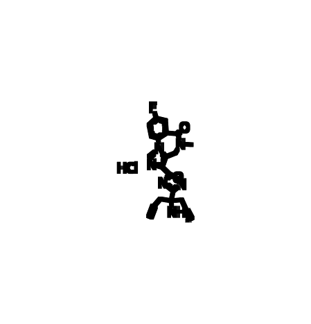 C#CCC(N)(CC#C)c1noc(-c2ncn3c2CN(C)C(=O)c2cc(F)ccc2-3)n1.Cl